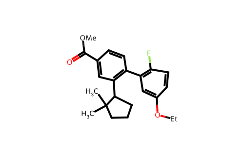 CCOc1ccc(F)c(-c2ccc(C(=O)OC)cc2C2CCCC2(C)C)c1